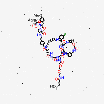 COc1ccc(C[C@H](NC(=O)[C@@H](NC(C)=O)[C@@H](C)O)C(=O)N2CCC[C@@]2(C)C(=O)NCCc2ccc(CN3CCCCCCn4cc(c5cc(F)ccc54)C[C@@H]4NC(=O)[C@H](Cc5cccc(c5)CNC(=O)CO[C@H]5CCN(C4=O)C5C)NC(=O)[C@@H](CNC(=O)COCCOCCNC(=O)CCCC(=O)O)NC(=O)[C@H](C)NC(=O)CCC3=O)cc2)cc1